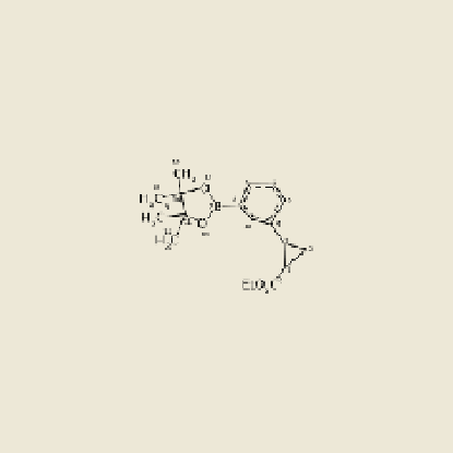 CCOC(=O)C1CC1c1cccc(B2OC(C)(C)C(C)(C)O2)c1